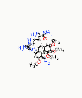 COc1ccc(/C=C\c2cc(OC)c(OC)c(OC)c2)cc1N.N=C(N)NCCC[C@H](N)C(N)=O